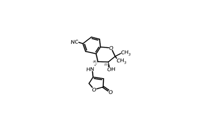 CC1(C)Oc2ccc(C#N)cc2[C@@H](NC2=CC(=O)OC2)[C@@H]1O